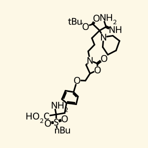 CCCCS(=O)(=O)C(N)(Cc1ccc(OCC2CN(CCCC(C(=N)N)(C(=O)OC(C)(C)C)N3CCCCC3)C(=O)O2)cc1)C(=O)O